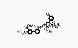 COC(=O)c1cc(-c2cccc(NCCN(CC(O[Si](C)(C)C(C)(C)C)c3cccc(Cl)c3)C(=O)OC(C)(C)C)c2)ccc1C(=O)O